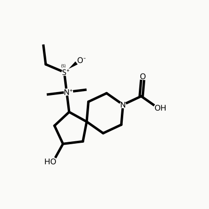 CC[S@@+]([O-])[N+](C)(C)C1CC(O)CC12CCN(C(=O)O)CC2